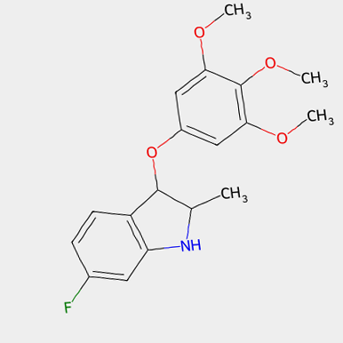 COc1cc(OC2c3ccc(F)cc3NC2C)cc(OC)c1OC